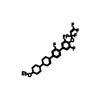 CCOC1CCC(C2CC=C(c3ccc(-c4cc(F)c(OC(F)(F)C=C(F)F)c(F)c4)c(F)c3)CC2)CC1